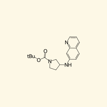 CC(C)(C)OC(=O)N1CCC(Nc2ccc3cccnc3c2)C1